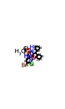 CC(C)(C)OC(=O)NC(C(=O)Nc1ccc(Br)c(Cl)n1)C(C1CCCCC1)C1CCCCC1